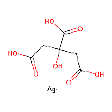 O=C(O)CC(O)(CC(=O)O)C(=O)O.[Ag]